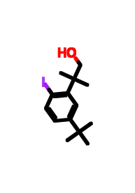 CC(C)(C)c1ccc(I)c(C(C)(C)CO)c1